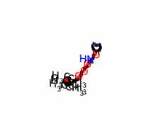 CC(C)(C)[Si](C)(C#CCOCCOCCOCNCCO[C@H]1CC/C=C/CCC1)C(C)(C)C